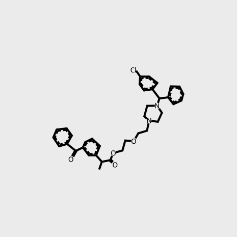 CC(C(=O)OCCOCCN1CCN(C(c2ccccc2)c2ccc(Cl)cc2)CC1)c1cccc(C(=O)c2ccccc2)c1